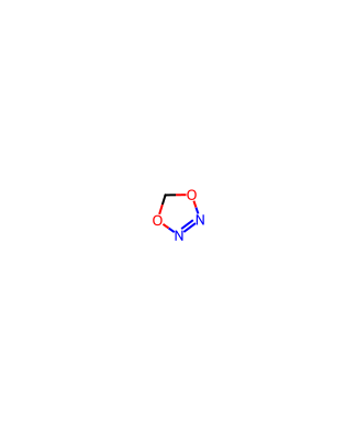 C1ON=NO1